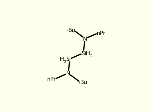 CCCN([SiH2][SiH2]N(CCC)C(C)CC)C(C)CC